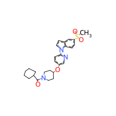 CS(=O)(=O)c1ccc2c(ccn2-c2ccc(OC3CCN(C(=O)C4CCCCC4)CC3)cn2)c1